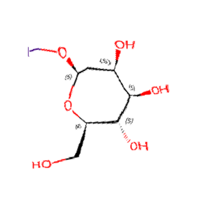 OC[C@H]1O[C@@H](OI)[C@@H](O)[C@@H](O)[C@@H]1O